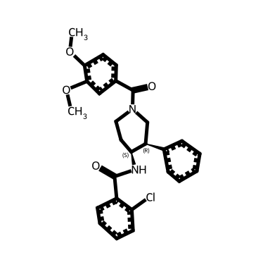 COc1ccc(C(=O)N2CC[C@H](NC(=O)c3ccccc3Cl)[C@H](c3ccccc3)C2)cc1OC